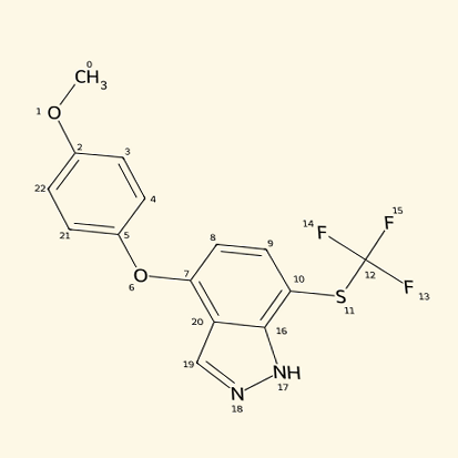 COc1ccc(Oc2ccc(SC(F)(F)F)c3[nH]ncc23)cc1